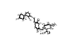 Cc1cc(/C=C/c2cccc(-c3ccccc3)c2C)c(Cl)cc1CN1CCNC[C@H]1C(=O)O